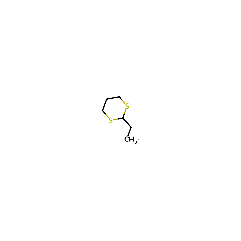 [CH2]CC1SCCCS1